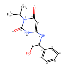 CC(C)n1c(=O)cc(NC(CO)c2ccccc2)[nH]c1=O